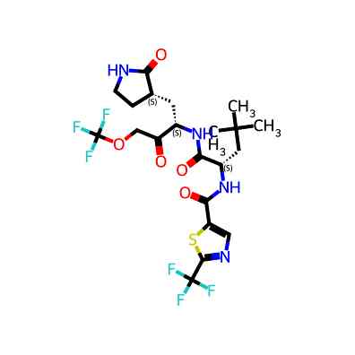 CC(C)(C)C[C@H](NC(=O)c1cnc(C(F)(F)F)s1)C(=O)N[C@@H](C[C@@H]1CCNC1=O)C(=O)COC(F)(F)F